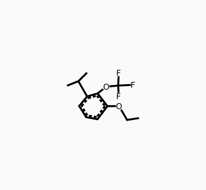 CCOc1cccc([C](C)C)c1OC(F)(F)F